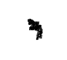 CC(C)(C)OC(=O)CS(C)(C)CC(NS(=O)(=O)c1ccc(Oc2ccc(F)cc2)cc1)C(=O)NO